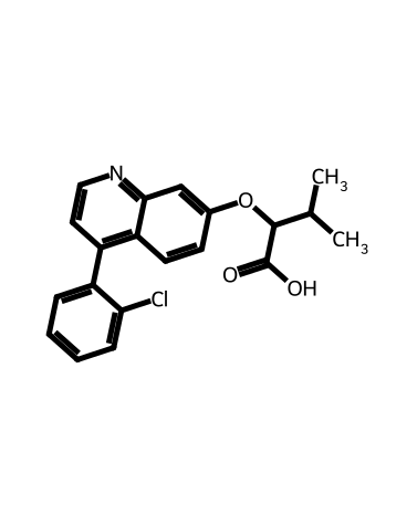 CC(C)C(Oc1ccc2c(-c3ccccc3Cl)ccnc2c1)C(=O)O